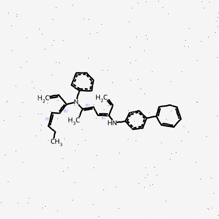 C=C/C(=C\C=C(/C)N(/C(C=C)=C/C=C\CC)c1ccccc1)Nc1ccc(C2=CCC=CC=C2)cc1